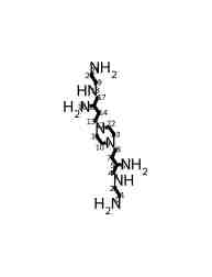 NCCNCC(N)CCN1CCN(CCC(N)CNCCN)CC1